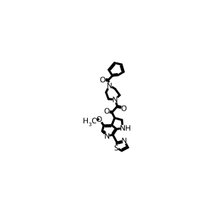 COc1cnc(-c2nccs2)c2c1C(C(=O)C(=O)N1CCN(C(=O)c3ccccc3)CC1)CN2